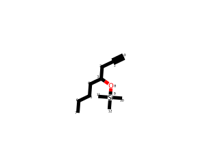 C#CCC(CCCC)O[Si](C)(C)C